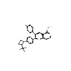 CC(C)(C)C1CC[C]1c1ccc(-c2nc3ccnc(NN)c3cc2-c2ccc(F)cc2)cc1